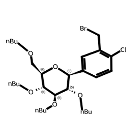 CCCCOC[C@H]1O[C@@H](c2ccc(Cl)c(CBr)c2)[C@H](OCCCC)[C@@H](OCCCC)[C@@H]1OCCCC